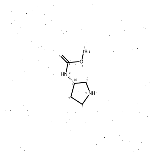 C=C(N[C@H]1CCNC1)OC(C)(C)C